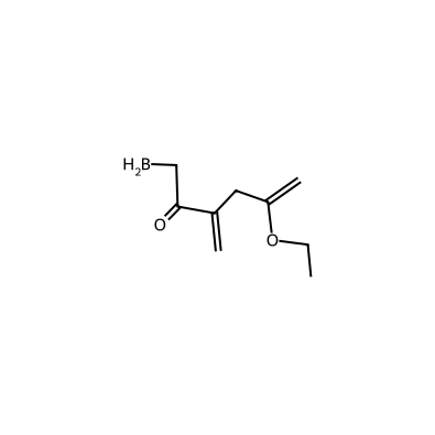 BCC(=O)C(=C)CC(=C)OCC